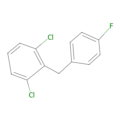 Fc1ccc(Cc2c(Cl)cccc2Cl)cc1